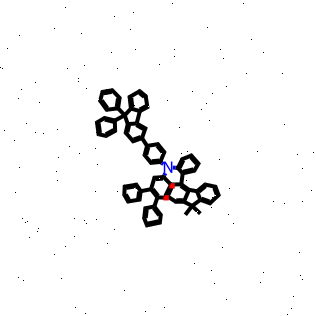 CC1(C)c2ccccc2-c2c(-c3ccccc3N(c3ccc(-c4ccc5c(c4)-c4ccccc4C5(c4ccccc4)c4ccccc4)cc3)c3ccc(-c4ccccc4)c(-c4ccccc4)c3)cccc21